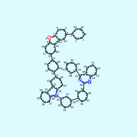 c1ccc(-c2ccc3oc4ccc(-c5ccc(-c6ccc7c(c6)c6ccccc6n7-c6cccc(-c7cccc(-c8nc(-c9ccccc9)c9ccccc9n8)c7)c6)cc5)cc4c3c2)cc1